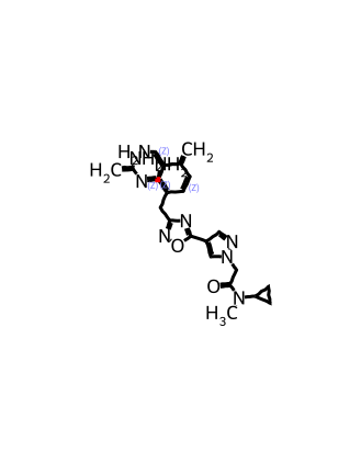 C=C(N)/N=C\C(=C/N)C(=C)/C=C\C(=C/N)Cc1noc(-c2cnn(CC(=O)N(C)C3CC3)c2)n1